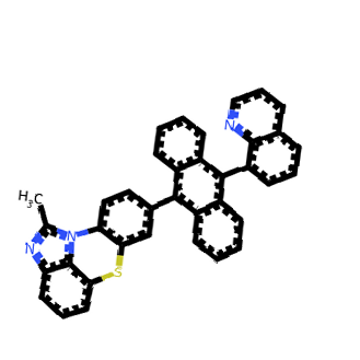 Cc1nc2cccc3c2n1-c1ccc(-c2c4ccccc4c(-c4cccc5cccnc45)c4ccccc24)cc1S3